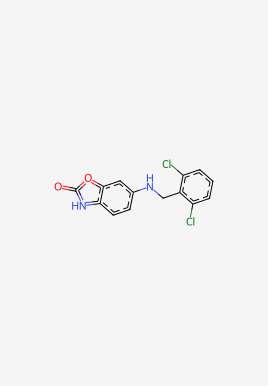 O=c1[nH]c2ccc(NCc3c(Cl)cccc3Cl)cc2o1